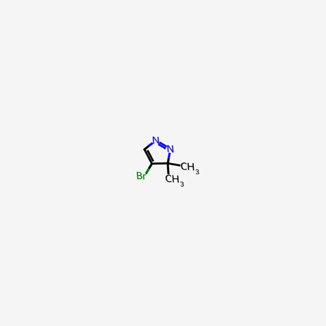 CC1(C)N=NC=C1Br